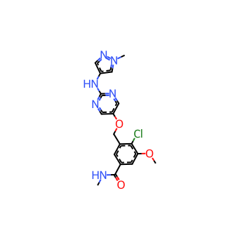 CNC(=O)c1cc(COc2cnc(Nc3cnn(C)c3)nc2)c(Cl)c(OC)c1